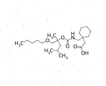 CCCCCOCC(C)(CC(C)C)OC(=O)NCC1(CC(=O)O)CCCCC1